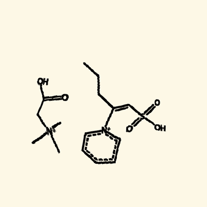 CCC/C(=C/S(=O)(=O)O)[n+]1ccccc1.C[N+](C)(C)CC(=O)O